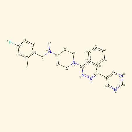 Cc1cc(F)ccc1CN(C)C1CCN(c2nnc(-c3cncnc3)c3ccccc23)CC1